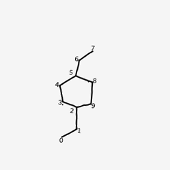 CCC1[CH]CC(CC)[CH]C1